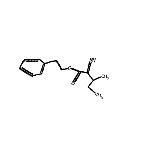 CCC(C)C(=N)C(=O)OCCc1ccccc1